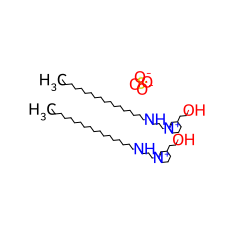 CCCCCCCCCCCCCCCCCCNCCC[N+]1=CC(CCO)CCC1.CCCCCCCCCCCCCCCCCCNCCC[N+]1=CC(CCO)CCC1.O=S(=O)([O-])[O-]